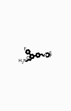 NCc1cc2cc(-c3ccc(CCN4CCC(F)(F)CC4)cc3)cc(-c3ccc(F)cc3)c2o1